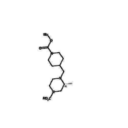 C[C@@H]1CN(C(=O)O)CCN1CC1CCN(C(=O)OC(C)(C)C)CC1